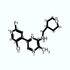 Cc1ncc(-c2cc(F)ncc2Cl)nc1NCC1CCOCC1